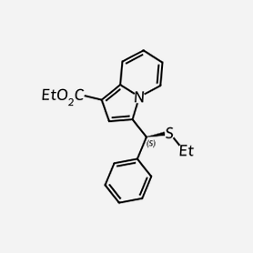 CCOC(=O)c1cc([C@@H](SCC)c2ccccc2)n2ccccc12